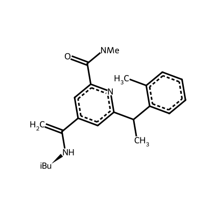 C=C(N[C@H](C)CC)c1cc(C(=O)NC)nc(C(C)c2ccccc2C)c1